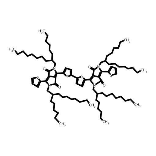 CCCCCCCCC(CCCCCC)CN1C(=O)C2=C(c3ccc(-c4ccc(C5=C6C(=O)N(CC(CCCCCC)CCCCCCCC)C(c7cccs7)=C6C(=O)N5CC(CCCCCC)CCCCCCCC)s4)s3)N(CC(CCCCCC)CCCCCCCC)C(=O)C2=C1c1cccs1